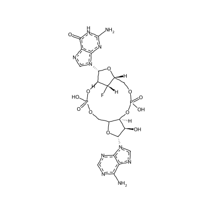 Nc1nc2c(ncn2[C@@H]2O[C@@H]3COP(=O)(O)O[C@@H]4C(COP(=O)(O)O[C@@H]2[C@H]3F)O[C@@H](n2cnc3c(N)ncnc32)[C@@H]4O)c(=O)[nH]1